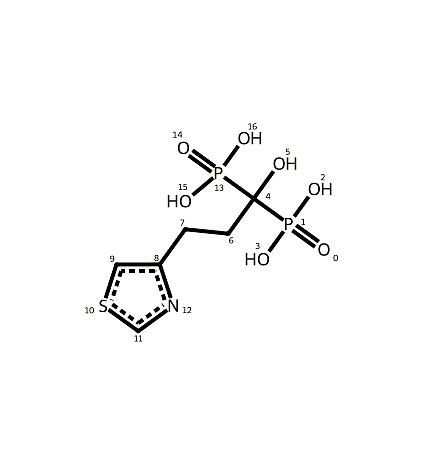 O=P(O)(O)C(O)(CCc1cscn1)P(=O)(O)O